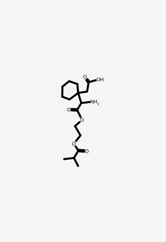 CC(C)C(=O)OCCOC(=O)C(N)C1(CC(=O)O)CCCCC1